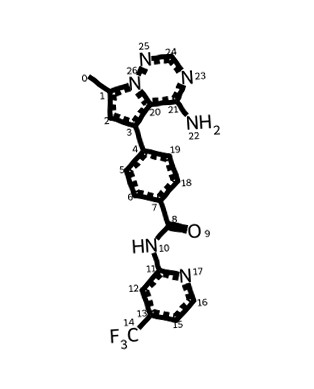 Cc1cc(-c2ccc(C(=O)Nc3cc(C(F)(F)F)ccn3)cc2)c2c(N)ncnn12